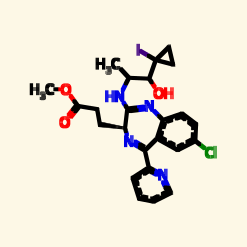 COC(=O)CC[C@@H]1N=C(c2ccccn2)c2cc(Cl)ccc2N=C1NC(C)C(O)C1(I)CC1